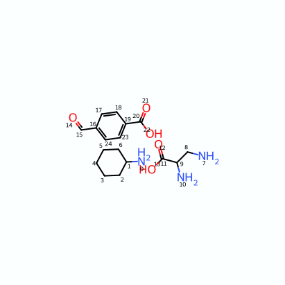 NC1CCCCC1.NCC(N)C(=O)O.O=Cc1ccc(C(=O)O)cc1